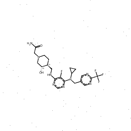 NC(=O)CN1CC[C@@H](CNc2ncnc(N(Cc3cnc(C(F)(F)F)nc3)C3CC3)c2F)[C@H](O)C1